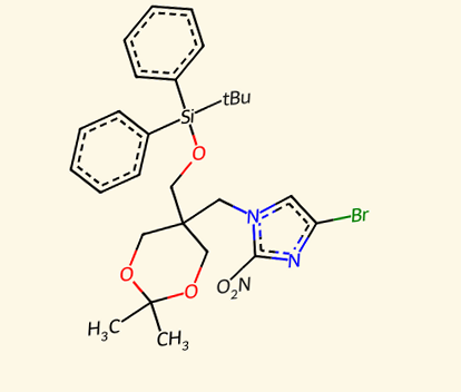 CC1(C)OCC(CO[Si](c2ccccc2)(c2ccccc2)C(C)(C)C)(Cn2cc(Br)nc2[N+](=O)[O-])CO1